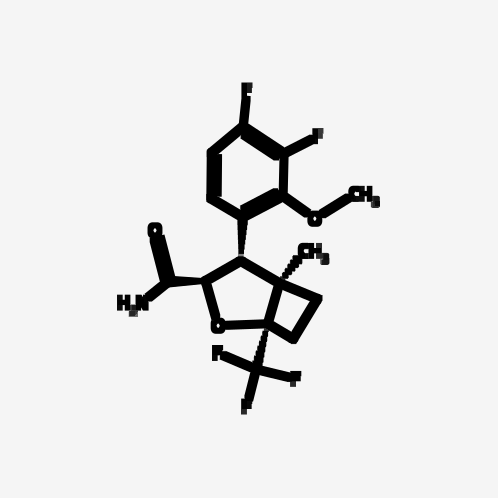 COc1c([C@H]2[C@H](C(N)=O)O[C@]3(C(F)(F)F)CC[C@]23C)ccc(F)c1F